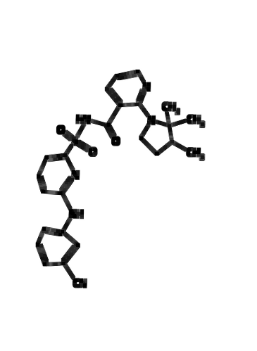 CC1CCN(c2ncccc2C(=O)NS(=O)(=O)c2cccc(Nc3cccc(C#N)c3)n2)C1(C)C